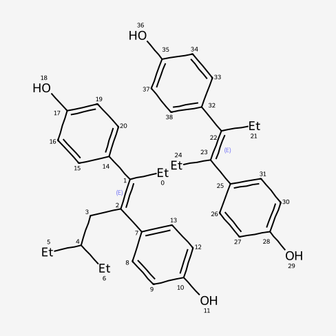 CC/C(=C(/CC(CC)CC)c1ccc(O)cc1)c1ccc(O)cc1.CC/C(=C(/CC)c1ccc(O)cc1)c1ccc(O)cc1